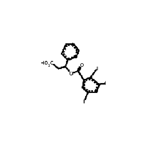 O=C(O)CC(OC(=O)c1cc(I)cc(I)c1I)c1ccccc1